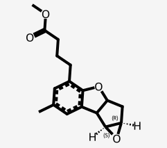 COC(=O)CCCc1cc(C)cc2c1OC1C[C@H]3O[C@H]3C21